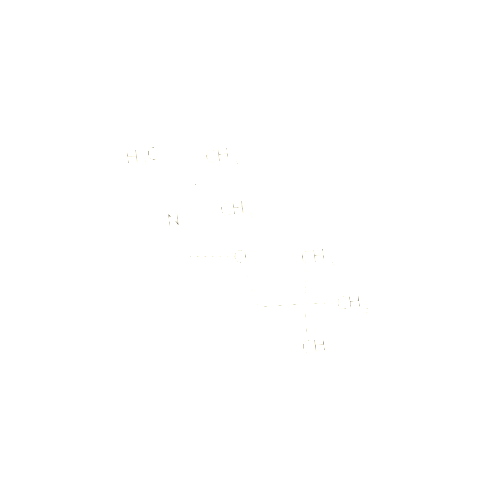 CC(C)(C)CO/C=N\C(C)(C)C